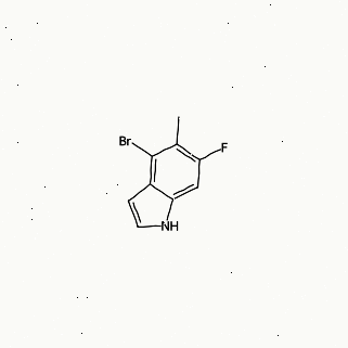 Cc1c(F)cc2[nH]ccc2c1Br